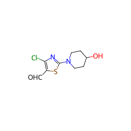 O=Cc1sc(N2CCC(O)CC2)nc1Cl